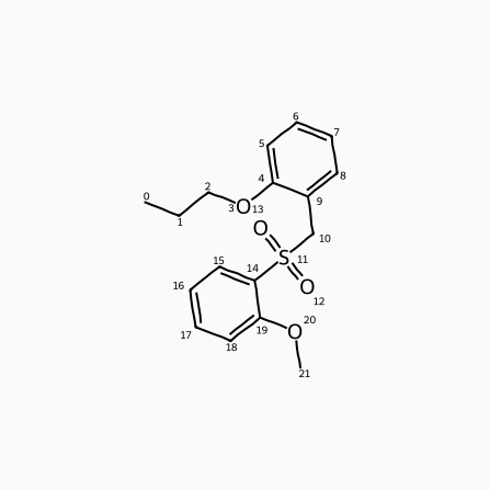 CCCOc1ccccc1CS(=O)(=O)c1ccccc1OC